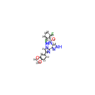 O=C(Nc1c[nH]nc1-c1nc(-c2ccc3c(c2)OCCO3)c[nH]1)c1c(F)cccc1F